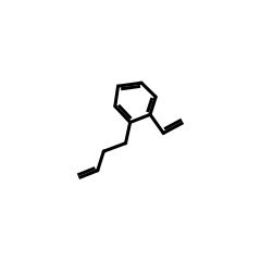 C=CCCc1ccccc1C=C